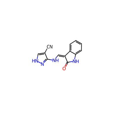 N#Cc1c[nH]nc1N/C=C1\C(=O)Nc2ccccc21